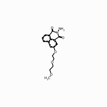 COCCOCCOc1cc2c3c(cccc3c1)C(=O)N(N)C2=O